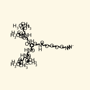 CC(C)(C)OC(=O)CCC(NC(=O)CCNC(=O)c1cc(OCCNC(=O)CCOCCOCCOCCOCCN=[N+]=[N-])cc(C(=O)NCCC(=O)NC(CCC(=O)OC(C)(C)C)C(=O)OC(C)(C)C)c1)C(=O)OC(C)(C)C